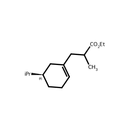 CCOC(=O)C(C)CC1=CCC[C@@H](C(C)C)C1